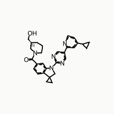 O=C(c1ccc2c(c1)N(c1ncc(-c3cc(C4CC4)ccn3)cn1)CC21CC1)N1CCC[C@H](CO)C1